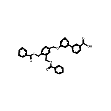 O=C(O)c1cccc(-c2cccc(OCc3ccc(COC(=O)c4ccccc4)c(COC(=O)c4ccccc4)c3)c2)c1